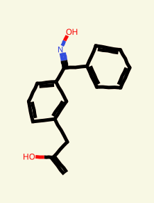 C=C(O)Cc1cccc(C(=NO)c2ccccc2)c1